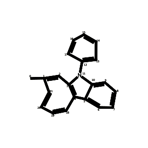 CC1=C\c2c(c3ccccc3n2-c2ccccc2)\C=C/C=C/1